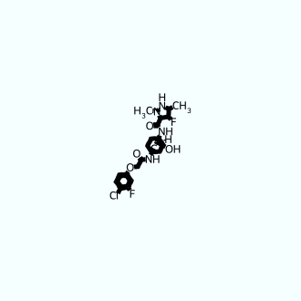 CC1NN(C)C(C(=O)NC23CCC(NC(=O)COc4ccc(Cl)c(F)c4)(CC2)C[C@@H]3O)C1F